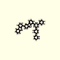 c1ccc(-c2ccc(-c3nc(-c4ccccc4)nc(-c4cccc5c4oc4ccc(-c6cccc7c6sc6ccccc67)cc45)n3)cc2)cc1